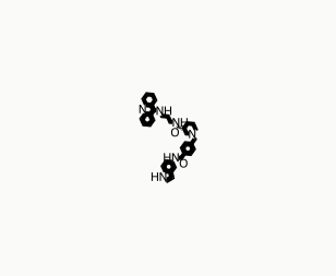 O=C(Nc1ccc2[nH]ccc2c1)c1ccc(CN2CCC[C@@H](C(=O)NCCCNc3c4c(nc5ccccc35)CCCC4)C2)cc1